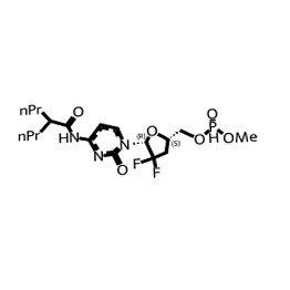 CCCC(CCC)C(=O)Nc1ccn([C@@H]2O[C@H](CO[PH](=O)OC)CC2(F)F)c(=O)n1